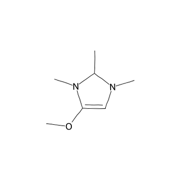 COC1=CN(C)C(C)N1C